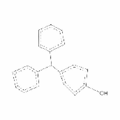 Oc1ccc(C(c2ccccc2)c2ccccc2)cc1